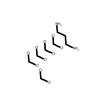 ClCCl.ClCCl.ClCCl.ClCCl.ClCCl.NCCCN